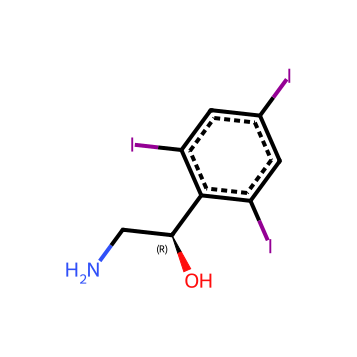 NC[C@H](O)c1c(I)cc(I)cc1I